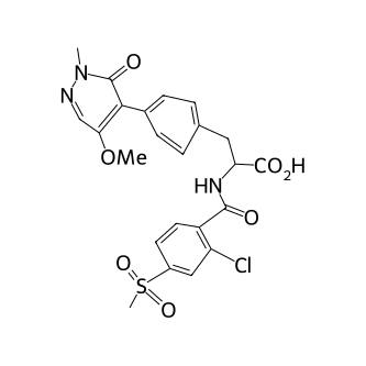 COc1cnn(C)c(=O)c1-c1ccc(CC(NC(=O)c2ccc(S(C)(=O)=O)cc2Cl)C(=O)O)cc1